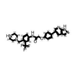 O=C(COc1ccc(-c2cnc3[nH]ncc3c2)cc1)Nc1ccc(CN2CCNCC2)c(C(F)(F)F)c1